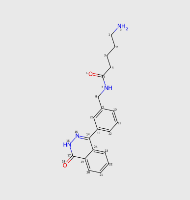 NCCCCC(=O)NCc1cccc(-c2n[nH]c(=O)c3ccccc23)c1